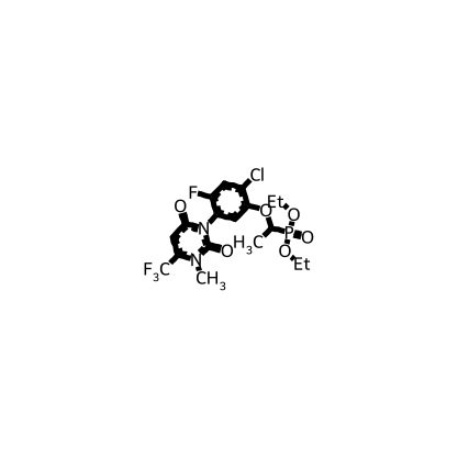 CCOP(=O)(OCC)C(C)Oc1cc(-n2c(=O)cc(C(F)(F)F)n(C)c2=O)c(F)cc1Cl